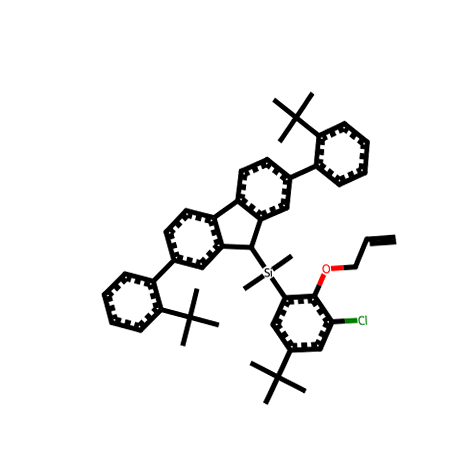 C=CCOc1c(Cl)cc(C(C)(C)C)cc1[Si](C)(C)C1c2cc(-c3ccccc3C(C)(C)C)ccc2-c2ccc(-c3ccccc3C(C)(C)C)cc21